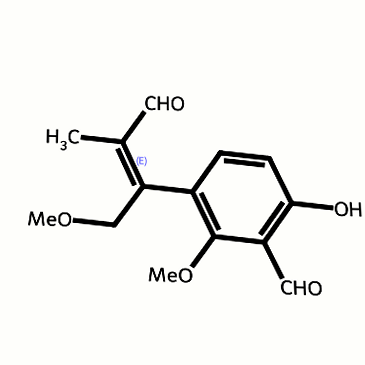 COC/C(=C(\C)C=O)c1ccc(O)c(C=O)c1OC